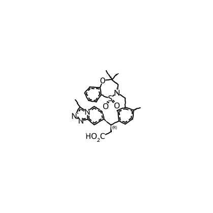 Cc1ccc([C@@H](CC(=O)O)c2ccn3c(C)nnc3c2)cc1CN1CC(C)(C)Oc2ccccc2S1(=O)=O